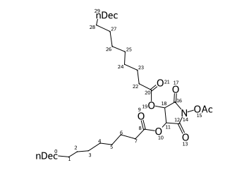 CCCCCCCCCCCCCCCCCC(=O)OC1C(=O)N(OC(C)=O)C(=O)C1OC(=O)CCCCCCCCCCCCCCCCC